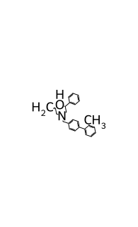 C=CCN(Cc1ccc(-c2ccccc2C)cc1)CC(O)c1ccccc1